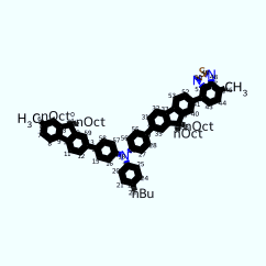 CCCCCCCCC1(CCCCCCCC)c2cc(C)ccc2-c2ccc(-c3ccc(N(c4ccc(CCCC)cc4)c4ccc(-c5ccc6c(c5)C(CCCCCCCC)(CCCCCCCC)c5cc(-c7ccc(C)c8nsnc78)ccc5-6)cc4)cc3)cc21